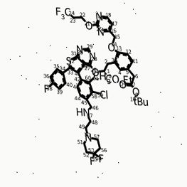 CCOC(=O)[C@@H](Cc1cc(CC(=O)OC(C)(C)C)ccc1OCc1ccnc(OCCC(F)(F)F)n1)Oc1ncnc2sc(-c3ccc(F)cc3)c(-c3ccc(CNCCN4CCC(F)(F)CC4)c(Cl)c3C)c12